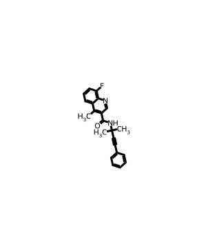 Cc1c(C(=O)NC(C)(C)C#Cc2ccccc2)cnc2c(F)cccc12